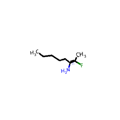 CCCCC/C(N)=C(\C)F